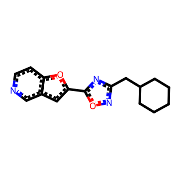 c1cc2oc(-c3nc(CC4CCCCC4)no3)cc2cn1